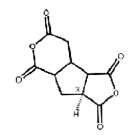 O=C1CC2C(C[C@@H]3C(=O)OC(=O)C23)C(=O)O1